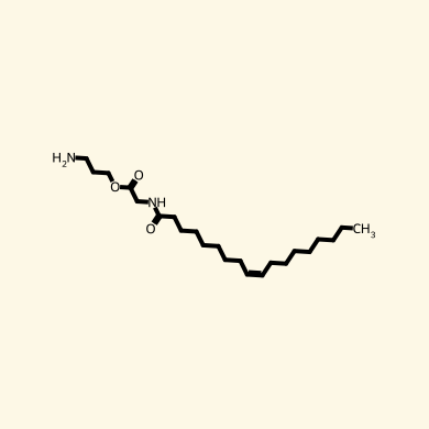 CCCCCCCC/C=C\CCCCCCCC(=O)NCC(=O)OCCCN